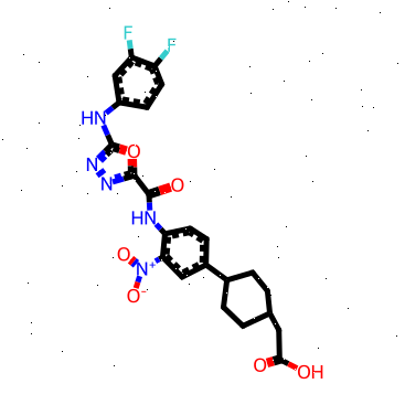 O=C(O)CC1CCC(c2ccc(NC(=O)c3nnc(Nc4ccc(F)c(F)c4)o3)c([N+](=O)[O-])c2)CC1